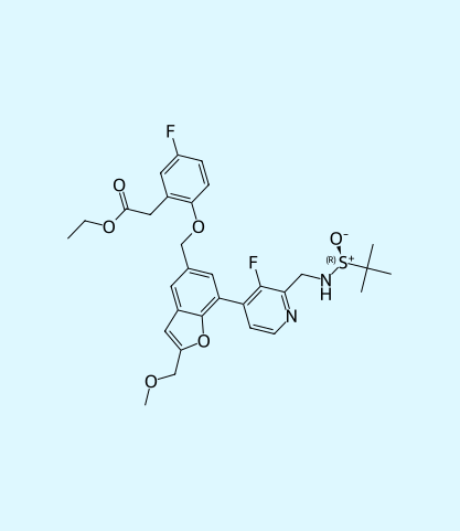 CCOC(=O)Cc1cc(F)ccc1OCc1cc(-c2ccnc(CN[S@@+]([O-])C(C)(C)C)c2F)c2oc(COC)cc2c1